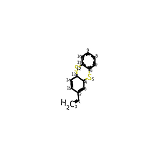 C=CC1=CC2Sc3ccccc3SC2C=C1